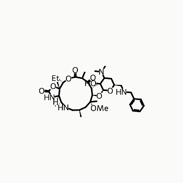 CC[C@@H]1OC(=O)C(C)C(=O)[C@H](C)[C@@H](O[C@@H]2O[C@H](CNCc3ccccc3)CC(N(C)C)C2O)[C@](C)(OC)C[C@@H](C)CN[C@H](C)[C@H]2NC(=O)O[C@]12C